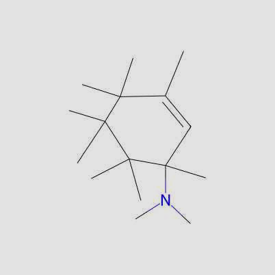 CC1=CC(C)(N(C)C)C(C)(C)C(C)(C)C1(C)C